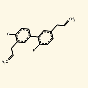 C=CCc1ccc(F)c(-c2ccc(F)c(CC=C)c2)c1